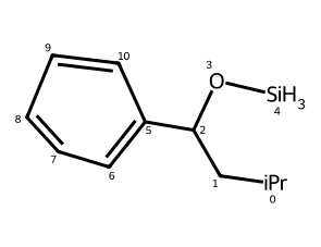 CC(C)CC(O[SiH3])c1ccccc1